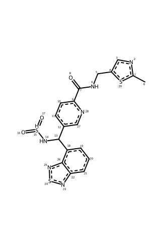 Cc1ncc(CNC(=O)c2ccc(C(N[SH](=O)=O)c3cccc4nsnc34)cn2)s1